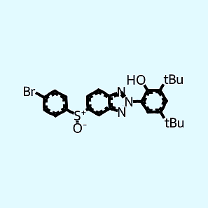 CC(C)(C)c1cc(-n2nc3ccc([S+]([O-])c4ccc(Br)cc4)cc3n2)c(O)c(C(C)(C)C)c1